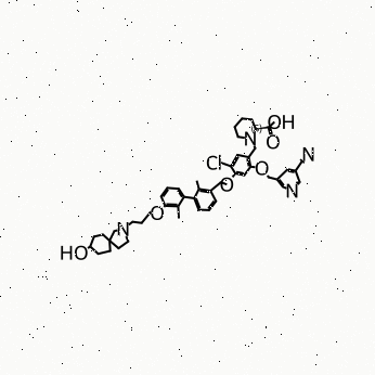 Cc1c(COc2cc(OCc3cncc(C#N)c3)c(CN3CCCC[C@H]3C(=O)O)cc2Cl)cccc1-c1cccc(OCCCN2CCC3(CCC(O)CC3)C2)c1C